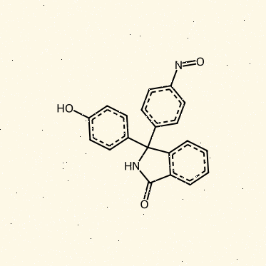 O=Nc1ccc(C2(c3ccc(O)cc3)NC(=O)c3ccccc32)cc1